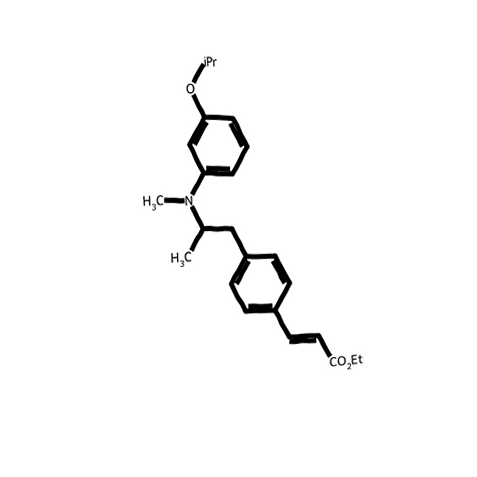 CCOC(=O)C=Cc1ccc(CC(C)N(C)c2cccc(OC(C)C)c2)cc1